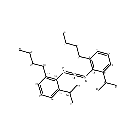 CCCCc1cccc(C(C)C)c1N=C=Nc1c(CCCC)cccc1C(C)C